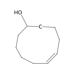 OC1CCCC=CCCCC1